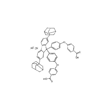 Cl.Cl.O=C(O)c1ccc(Oc2ccc(C3(c4ccc(Oc5ccc(C(=O)O)cc5)cc4)c4cc(C56CC7CC(CC(C7)C5)C6)ccc4-c4ccc(C56CC7CC(CC(C7)C5)C6)cc43)cc2)cc1